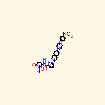 O=C1CCC(NC(=O)c2cccc(N3CCC4(CCC(N5CCN(c6ccc([N+](=O)[O-])cc6)CC5)CC4)CC3)n2)C(=O)N1